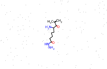 C=C(C)C(=O)C(N)CCCCC(=O)NN